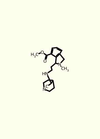 COC(=O)c1cccc2c1C(CCNC1CN3CCC1CC3)N(C)C2